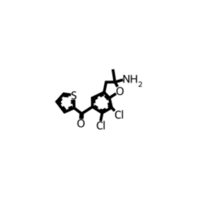 CC1(N)Cc2cc(C(=O)c3cccs3)c(Cl)c(Cl)c2O1